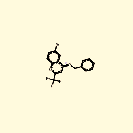 FC(F)(F)c1c/c(=N\Cc2ccccc2)c2cc(Br)ccc2o1